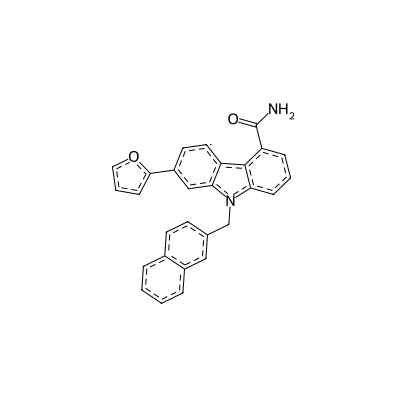 NC(=O)c1cccc2c1c1[c]cc(-c3ccco3)cc1n2Cc1ccc2ccccc2c1